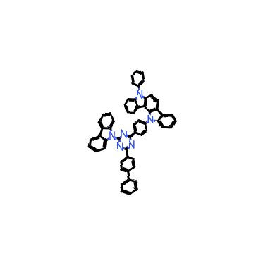 c1ccc(-c2ccc(-c3nc(-c4ccc(-n5c6ccccc6c6ccc7c(c8ccccc8n7-c7ccccc7)c65)cc4)nc(-n4c5ccccc5c5ccccc54)n3)cc2)cc1